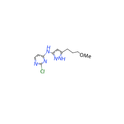 COCCCc1cc(Nc2ccnc(Cl)n2)n[nH]1